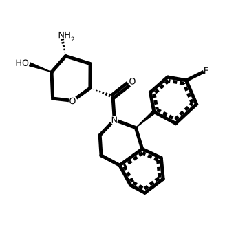 N[C@@H]1C[C@H](C(=O)N2CCc3ccccc3[C@@H]2c2ccc(F)cc2)OC[C@H]1O